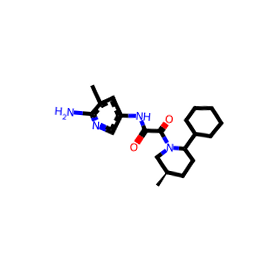 Cc1cc(NC(=O)C(=O)N2C[C@H](C)CCC2C2CCCCC2)cnc1N